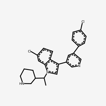 CC(C1CCCNC1)n1cc(-c2cncc(-c3ccc(Cl)cc3)c2)c2ccc(Cl)cc21